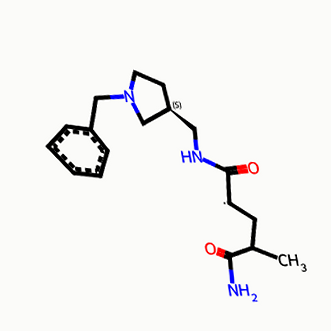 CC(C[CH]C(=O)NC[C@@H]1CCN(Cc2ccccc2)C1)C(N)=O